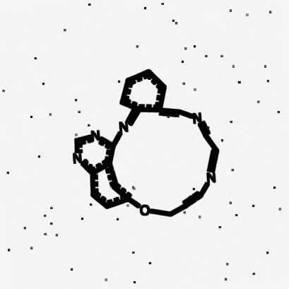 C1=C/N=C\C=N/C=c2/cccc/c2=N/c2ncnc3ccc(cc23)OC\1